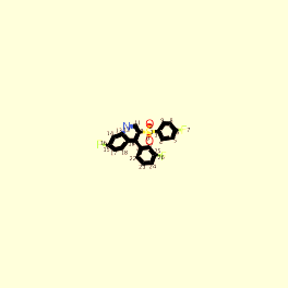 O=S(=O)(c1ccc(F)cc1)c1cnc2cc(F)ccc2c1-c1cccc(F)c1